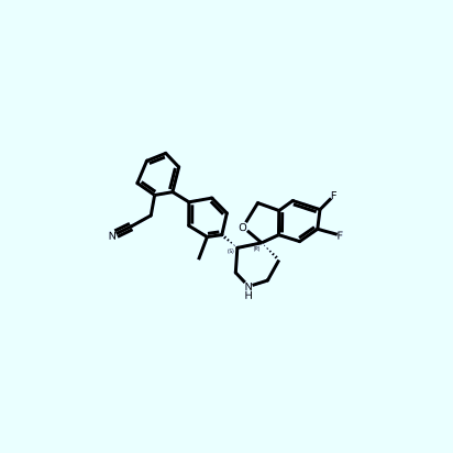 Cc1cc(-c2ccccc2CC#N)ccc1[C@H]1CNCC[C@@]12OCc1cc(F)c(F)cc12